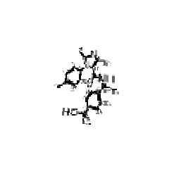 Cc1ccc(-n2c(C)nc(C)c2C(=O)N[C@@H](C)c2ccc(C(=O)O)cc2)cc1